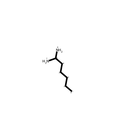 [CH2]CCCC[C](N)N